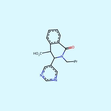 CC(C)CN1C(=O)c2ccccc2C(C(=O)O)C1c1cncnc1